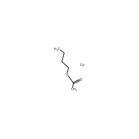 CCCCOC(C)=O.[Cu]